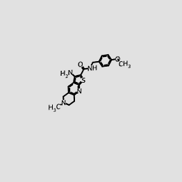 COc1ccc(CNC(=O)c2sc3nc4c(cc3c2N)CN(C)CC4)cc1